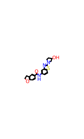 O=C(Nc1ccc2sc(N3CC[C@@H](O)C3)nc2c1)c1ccc2c(c1)CCO2